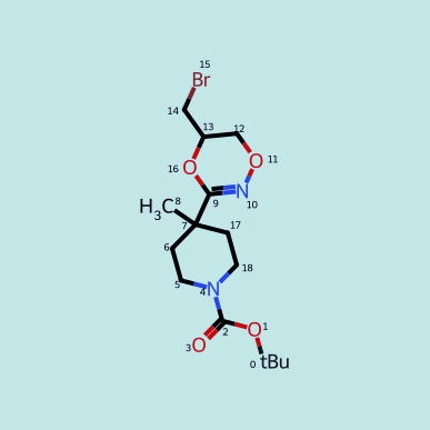 CC(C)(C)OC(=O)N1CCC(C)(C2=NOCC(CBr)O2)CC1